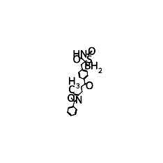 B[C@]1(Cc2ccc(C(=O)CCc3nc(-c4ccccc4)oc3C)cc2)SC(=O)NC1=O